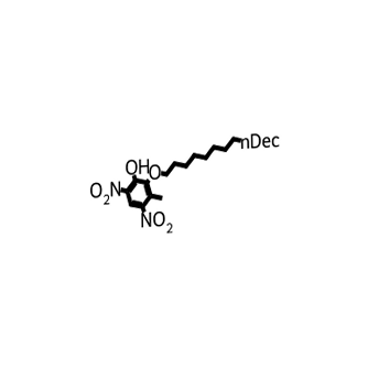 CCCCCCCCCCCCCCCCCCOc1c(C)c([N+](=O)[O-])cc([N+](=O)[O-])c1O